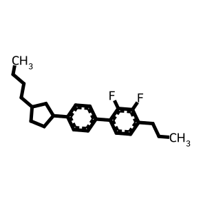 CCCCC1CCC(c2ccc(-c3ccc(CCC)c(F)c3F)cc2)C1